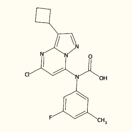 Cc1cc(F)cc(N(C(=O)O)c2cc(Cl)nc3c(C4CCC4)cnn23)c1